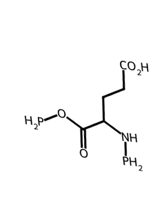 O=C(O)CCC(NP)C(=O)OP